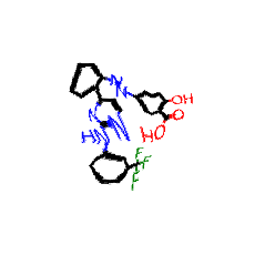 O=C(O)c1cc(/N=N/c2ccccc2-c2ccnc(Nc3cccc(C(F)(F)F)c3)n2)ccc1O